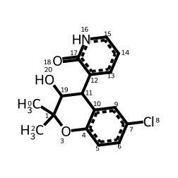 CC1(C)Oc2ccc(Cl)cc2C(c2ccc[nH]c2=O)C1O